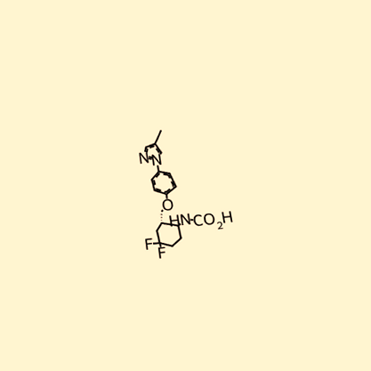 Cc1cnn(-c2ccc(OC[C@H]3CC(F)(F)CC[C@@H]3NC(=O)O)cc2)c1